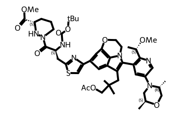 COC(=O)[C@@H]1CCCN(C(=O)[C@H](Cc2nc(-c3cc4c5c(c3)c(CC(C)(C)COC(C)=O)c(-c3cc(N6C[C@H](C)OC[C@H]6C)cnc3[C@H](C)OC)n5CCO4)cs2)NC(=O)OC(C)(C)C)N1